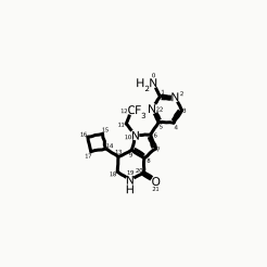 Nc1nccc(-c2cc3c(n2CC(F)(F)F)C(C2CCC2)CNC3=O)n1